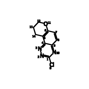 Clc1nnc2c3c(ccc2n1)OCCC3